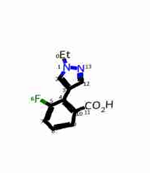 CCn1cc(-c2c(F)cccc2C(=O)O)cn1